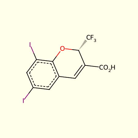 O=C(O)C1=Cc2cc(I)cc(I)c2O[C@@H]1C(F)(F)F